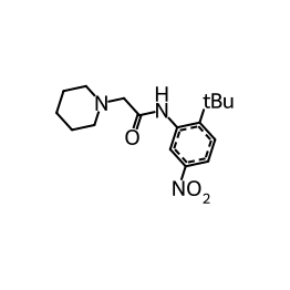 CC(C)(C)c1ccc([N+](=O)[O-])cc1NC(=O)CN1CCCCC1